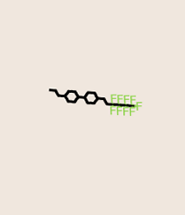 CCCC1CCC(C2CCC(CCC(F)(F)C(F)(F)C(F)(F)C(F)(F)F)CC2)CC1